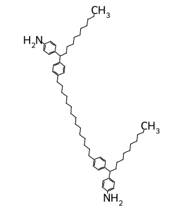 CCCCCCCCCCC(c1ccc(N)cc1)c1ccc(CCCCCCCCCCCCCCCc2ccc(C(CCCCCCCCCC)c3ccc(N)cc3)cc2)cc1